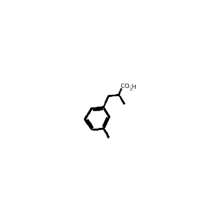 Cc1cccc(CC(C)C(=O)O)c1